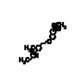 CCc1cnc(-c2ccc(CCCOc3ccc4c(c3)CCN(S(C)(=O)=O)C4)cc2C)nc1